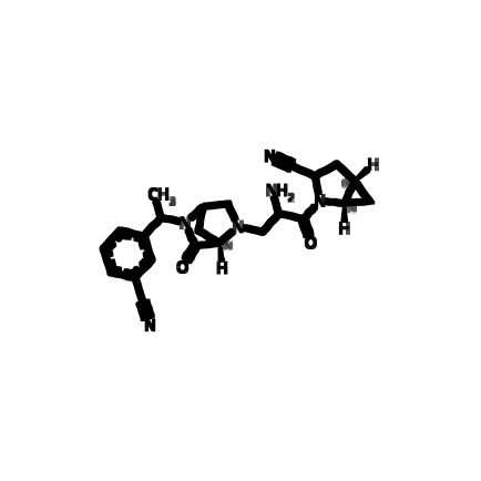 CC(c1cccc(C#N)c1)N1C(=O)[C@@H]2CC1CN2CC(N)C(=O)N1C(C#N)C[C@@H]2C[C@@H]21